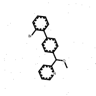 COC(c1ccc(-c2ccccc2Br)cc1)c1ccccn1